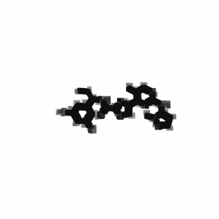 CC[C@@H](NC(=O)c1nc(-c2nc(Nc3ccnn3C)ncc2C)co1)c1cc(F)cc(Cl)c1